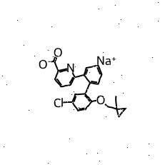 CC1(COc2ccc(Cl)cc2-c2ccccc2-c2cccc(C(=O)[O-])n2)CC1.[Na+]